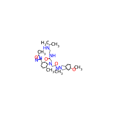 COc1ccc2c(c1)CN(N(C)C(=O)CN(CC(=O)NCCNC(C)C)c1cc(-c3noc(C)n3)ccc1C)C2